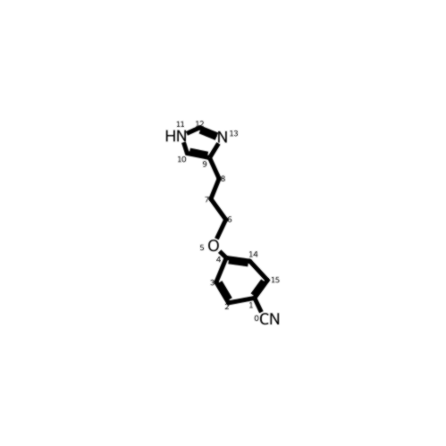 N#Cc1ccc(OCCCc2c[nH]cn2)cc1